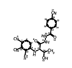 [C-]#[N+]c1ccc(N[C@@H](C(=O)NNC(=O)c2ccc(C#N)cc2)C(C)O)c(CC)c1Cl